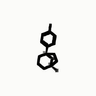 Cc1ccc([C@]23CCC[C@H](CC2)N3)cc1